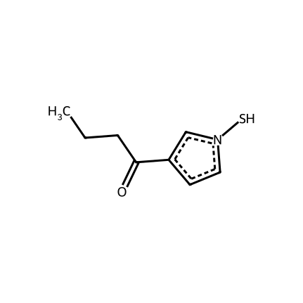 CCCC(=O)c1ccn(S)c1